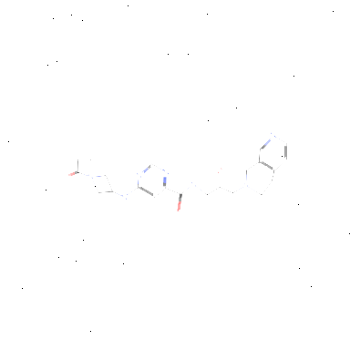 CC(=O)N1CC(Nc2cc(C(=O)NC[C@H](O)CN3CCc4ccncc4C3)ncn2)C1